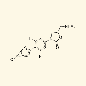 CC(=O)NCC1CN(c2cc(F)c(-n3cc4c(p3)[S+]4[O-])c(F)c2)C(=O)O1